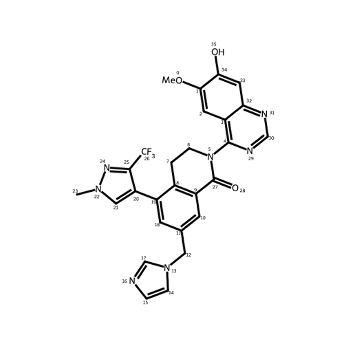 COc1cc2c(N3CCc4c(cc(Cn5ccnc5)cc4-c4cn(C)nc4C(F)(F)F)C3=O)ncnc2cc1O